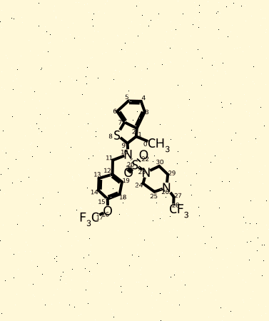 CC1c2ccccc2SC1N(Cc1ccc(OC(F)(F)F)cc1)S(=O)(=O)N1CCN(CC(F)(F)F)CC1